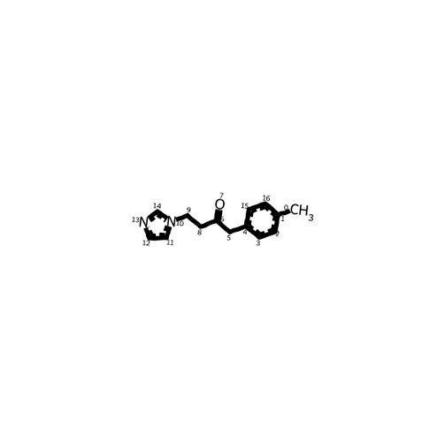 Cc1ccc(CC(=O)CCn2ccnc2)cc1